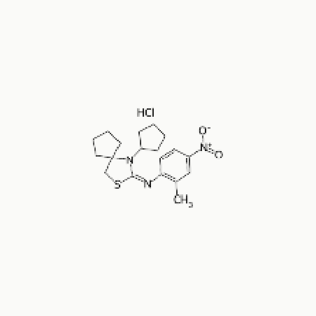 Cc1cc([N+](=O)[O-])ccc1/N=C1/SCC2(CCCC2)N1C1CCCC1.Cl